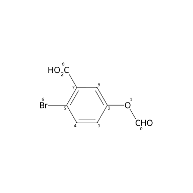 O=COc1ccc(Br)c(C(=O)O)c1